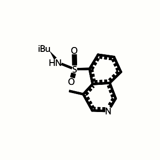 CC[C@H](C)NS(=O)(=O)c1cccc2cncc(C)c12